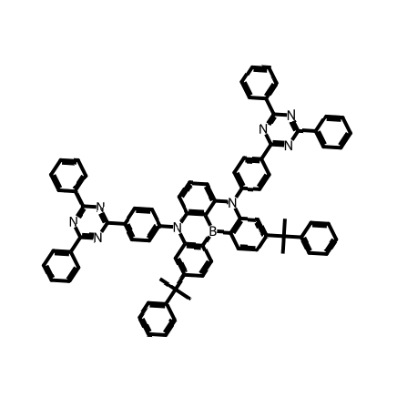 CC(C)(c1ccccc1)c1ccc2c(c1)N(c1ccc(-c3nc(-c4ccccc4)nc(-c4ccccc4)n3)cc1)c1cccc3c1B2c1ccc(C(C)(C)c2ccccc2)cc1N3c1ccc(-c2nc(-c3ccccc3)nc(-c3ccccc3)n2)cc1